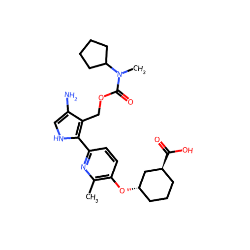 Cc1nc(-c2[nH]cc(N)c2COC(=O)N(C)C2CCCC2)ccc1O[C@H]1CCC[C@H](C(=O)O)C1